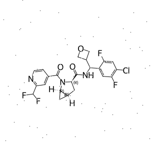 O=C(NC(c1cc(F)c(Cl)cc1F)C1COC1)[C@H]1C[C@H]2C[C@H]2N1C(=O)c1ccnc(C(F)F)c1